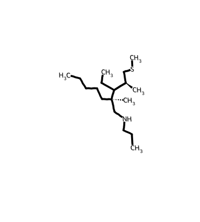 CCCCC[C@](C)(CNCCC)C(CC)[C@H](C)CSC